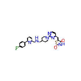 O=C1NC(=O)C(=Cc2ccnc(N3CCC(CNCc4cccc(-c5ccc(F)cc5)n4)CC3)n2)S1